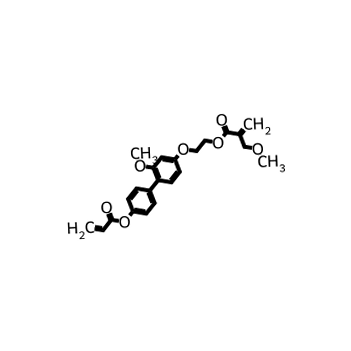 C=CC(=O)Oc1ccc(-c2ccc(OCCOC(=O)C(=C)COC)cc2OC)cc1